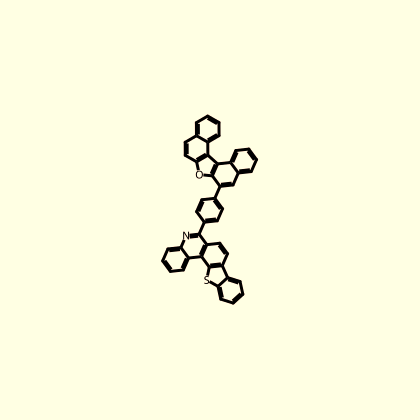 c1ccc2c(c1)ccc1oc3c(-c4ccc(-c5nc6ccccc6c6c5ccc5c7ccccc7sc56)cc4)cc4ccccc4c3c12